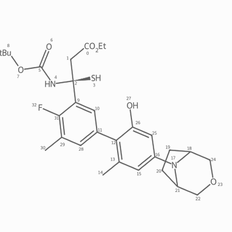 CCOC(=O)C[C@@](S)(NC(=O)OC(C)(C)C)c1cc(-c2c(C)cc(N3C4CCC3COC4)cc2O)cc(C)c1F